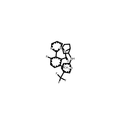 Cc1ccc(F)c(-c2ncccn2)c1C(=O)N1C2CCC1C(Nc1ccc(C(F)(F)F)cn1)C2